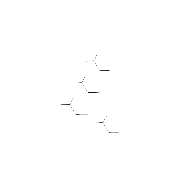 CC(C)CC(N)C(=O)O.CC(C)CC(N)C(=O)O.NC(CC(=O)O)C(=O)O.NC(CC(=O)O)C(=O)O